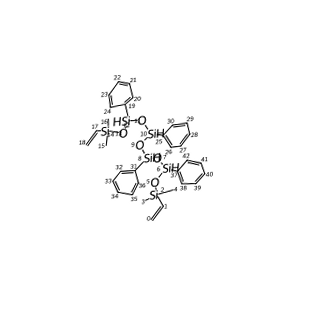 C=C[Si](C)(C)O[SiH](O[SiH](O[SiH](O[SiH](O[Si](C)(C)C=C)c1ccccc1)c1ccccc1)c1ccccc1)c1ccccc1